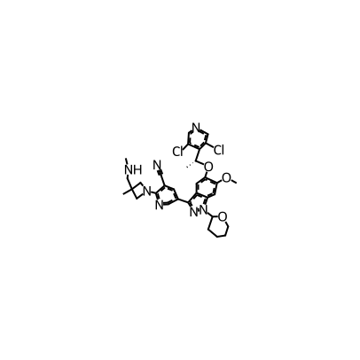 CNCC1(C)CN(c2ncc(-c3nn(C4CCCCO4)c4cc(OC)c(O[C@H](C)c5c(Cl)cncc5Cl)cc34)cc2C#N)C1